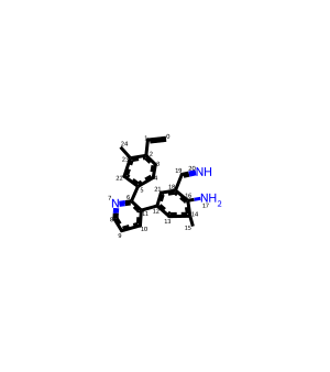 C=Cc1ccc(-c2ncccc2-c2cc(C)c(N)c(C=N)c2)cc1C